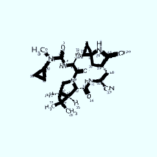 CN(C(=O)N[C@H](C(=O)N1C[C@H]2[C@@H]([C@H]1C(=O)N[C@H](C#N)C[C@@H]1CC3(CC3)NC1=O)C2(C)C)C(C)(C)C)C1CC1